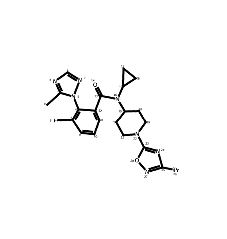 Cc1ncnn1-c1c(F)cccc1C(=O)N(C1CC1)C1CCN(c2nc(C(C)C)no2)CC1